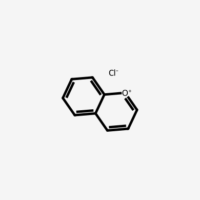 [Cl-].c1ccc2[o+]cccc2c1